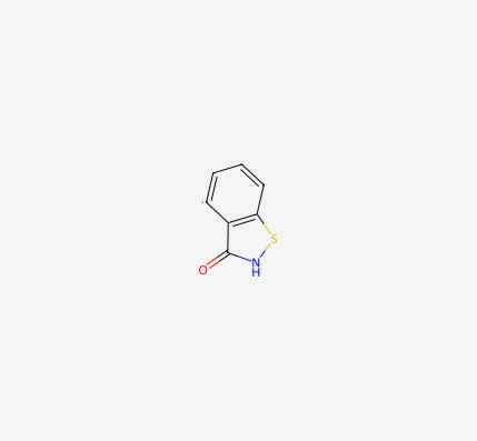 O=c1[nH]sc2ccc[c]c12